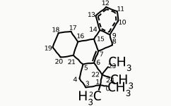 CC1(C)CCC2C(=C3Cc4ccccc4C3C3CCCCC23)C1(C)C